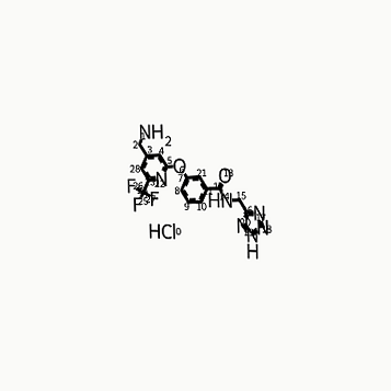 Cl.NCc1cc(Oc2cccc(C(=O)NCc3nn[nH]n3)c2)nc(C(F)(F)F)c1